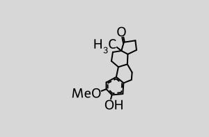 COc1cc2c(cc1O)CCC1C2CCC2(C)C(=O)CCC12